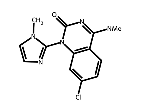 CNc1nc(=O)n(-c2nccn2C)c2cc(Cl)ccc12